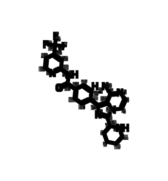 Nc1nccn2c([C@@H]3CCCCN3)nc(-c3ccc(C(=O)Nc4cc(C(F)(F)F)ccn4)cc3)c12